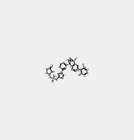 CC1(C)[C@H]2CC[C@@]1(c1cccc(-n3cnc(CS(=O)(=O)CC4CCC(=O)N4)n3)n1)c1nnc(-c3c(F)cccc3F)cc12